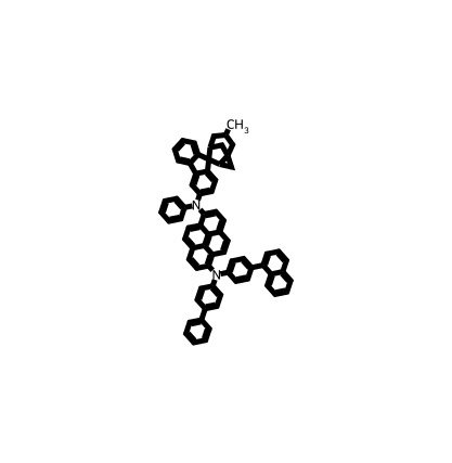 CC1CC2CC3(C1)CC3C21c2ccccc2-c2cc(N(c3ccccc3)c3ccc4ccc5c(N(c6ccc(-c7ccccc7)cc6)c6ccc(-c7cccc8ccccc78)cc6)ccc6ccc3c4c65)ccc21